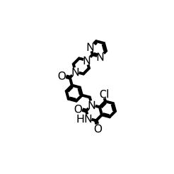 O=C(c1cccc(Cn2c(=O)[nH]c(=O)c3cccc(Cl)c32)c1)N1CCN(c2ncccn2)CC1